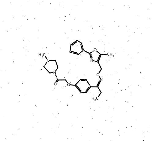 CCC(=NOCc1nc(-c2ccccc2)oc1C)c1ccc(OCC(=O)N2CCN(C)CC2)cc1